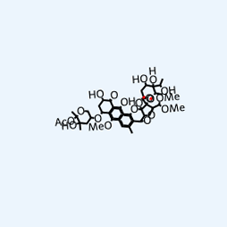 COc1c2c(c(O)c3c4c(c(C)cc13)C1OC3(C(OC)OC)OC1C(OC1CC(O)C(O)(C(C)O)C(C)O1)(O4)C31CO1)C(=O)C(O)CC2OC1COC(C)(OC(C)=O)C(C)(O)C1